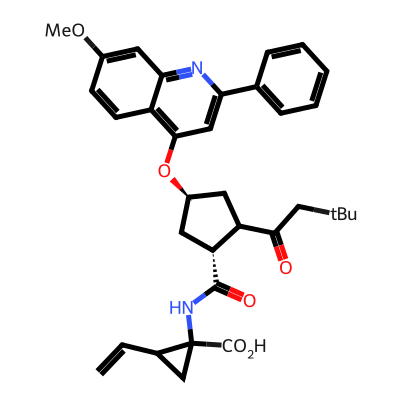 C=CC1CC1(NC(=O)[C@@H]1C[C@@H](Oc2cc(-c3ccccc3)nc3cc(OC)ccc23)CC1C(=O)CC(C)(C)C)C(=O)O